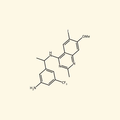 COc1cc2nc(C)nc(NC(C)c3cc(N)cc(C(F)(F)F)c3)c2cc1I